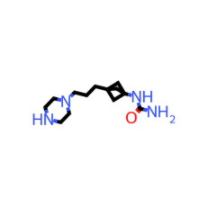 NC(=O)NC12CC(CCCN3CCNCC3)(C1)C2